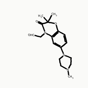 CN1CCN(c2ccc3c(c2)N(CC=O)C(=O)C(C)(C)O3)CC1